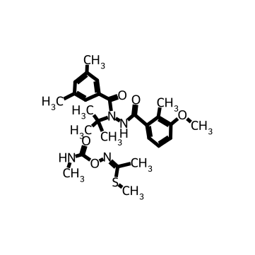 CNC(=O)ON=C(C)SC.COc1cccc(C(=O)NN(C(=O)c2cc(C)cc(C)c2)C(C)(C)C)c1C